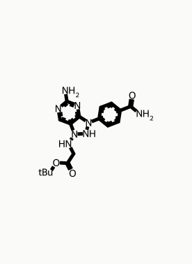 CC(C)(C)OC(=O)CNN1NN(c2ccc(C(N)=O)cc2)c2nc(N)ncc21